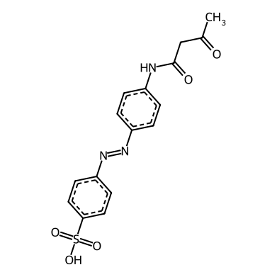 CC(=O)CC(=O)Nc1ccc(N=Nc2ccc(S(=O)(=O)O)cc2)cc1